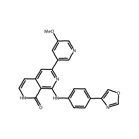 COc1cncc(-c2cc3cc[nH]c(=O)c3c(Nc3ccc(-c4cocn4)cc3)n2)c1